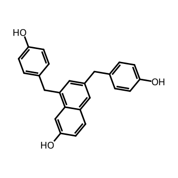 Oc1ccc(Cc2cc(Cc3ccc(O)cc3)c3cc(O)ccc3c2)cc1